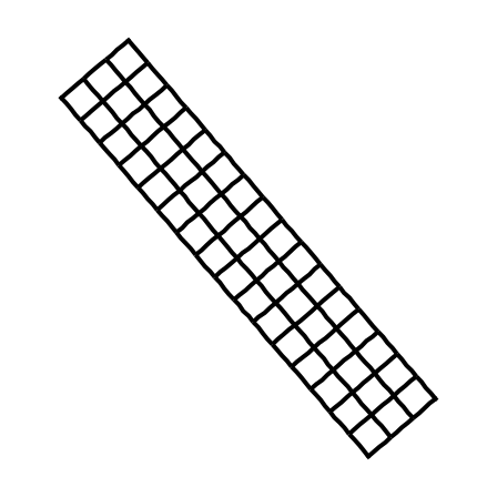 C1C2C3CC4C5C6C7C8C9C%10C%11C%12C%13C%14C%15C%16C%17C%18CC%19C%20CC%21C%22C%23C%24C%25C%26C%27C%28C%29C%30C%31C%32C%33C%34C1C21C34C52C%341C%331C62C72C%321C%311C82C92C%301C%291C%102C%112C%123C%134C%145C%156C%167C%178C%19%18C%20%21C%228C%237C%246C%255C%264C%273C%2812